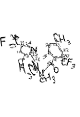 Cc1ccc(C(=O)N(C)N(C)Cc2ncc(C(F)(F)F)cc2Cl)c(C(F)(F)F)c1